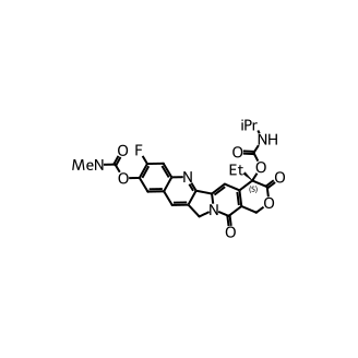 CC[C@@]1(OC(=O)NC(C)C)C(=O)OCc2c1cc1n(c2=O)Cc2cc3cc(OC(=O)NC)c(F)cc3nc2-1